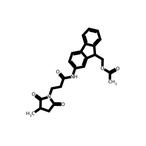 CC(=O)OCC1c2ccccc2-c2ccc(NC(=O)CCN3C(=O)CC(C)C3=O)cc21